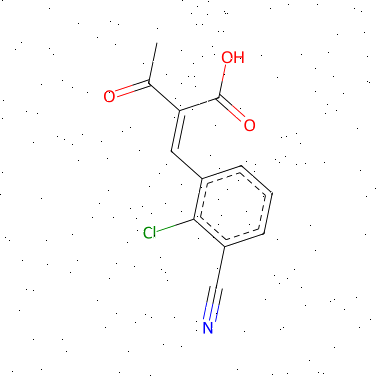 CC(=O)C(=Cc1cccc(C#N)c1Cl)C(=O)O